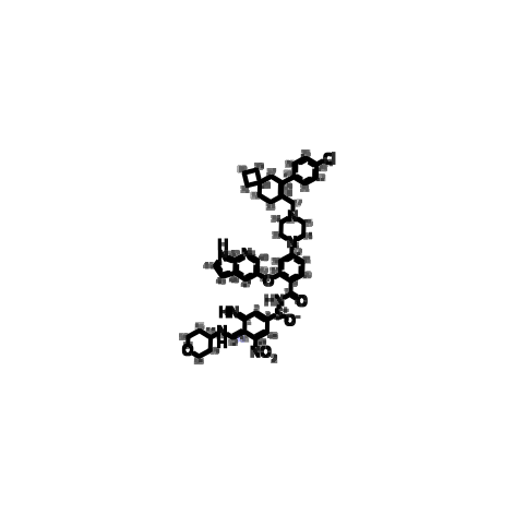 N=C1C=C([S+]([O-])NC(=O)c2ccc(N3CCN(CC4=C(c5ccc(Cl)cc5)CC5(CCC5)CC4)CC3)cc2Oc2cnc3[nH]ccc3c2)C=C([N+](=O)[O-])/C1=C/NC1CCOCC1